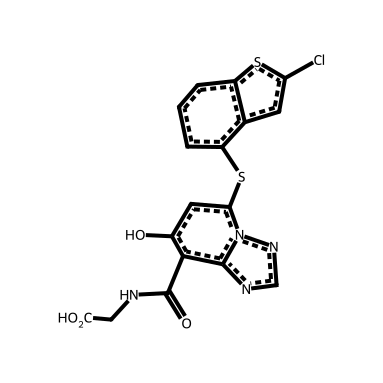 O=C(O)CNC(=O)c1c(O)cc(Sc2cccc3sc(Cl)cc23)n2ncnc12